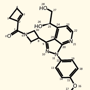 O=C(C1=CCC1)N1CC(c2nn(-c3ccc(OC(F)(F)F)cc3)c3nccc([C@@H](O)CO)c23)C1